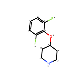 Fc1cccc(F)c1OC1CC[N]CC1